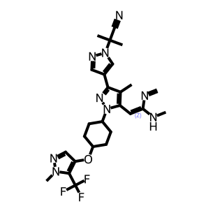 C=N/C(=C\c1c(C)c(-c2cnn(C(C)(C)C#N)c2)nn1C1CCC(Oc2cnn(C)c2C(F)(F)F)CC1)NC